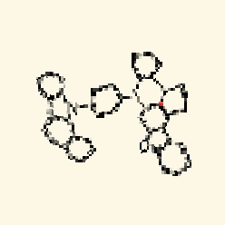 C1=CCC(c2ccccc2N(c2ccc(-n3c4ccccc4c4ccc5ccccc5c43)cc2)c2ccc3c(c2)oc2ccccc23)C=C1